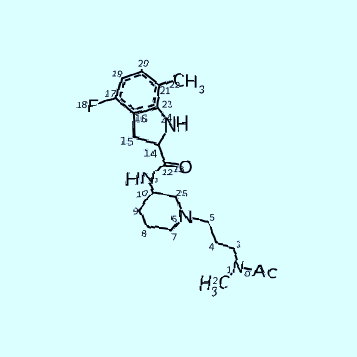 CC(=O)N(C)CCCN1CCCC(NC(=O)C2Cc3c(F)ccc(C)c3N2)C1